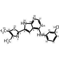 Cc1nc(-c2cc3c(Nc4cccc(Cl)c4)ncnc3[nH]2)sc1C